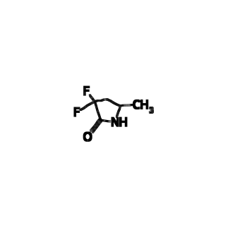 CC1CC(F)(F)C(=O)N1